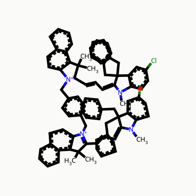 CN1/C(=C/C=C/C2=[N+](Cc3ccc(C[N+]4=C(/C=C/C=C5/N(C)c6ccc(Cl)cc6C5(Cc5ccccc5)Cc5ccccc5)C(C)(C)c5c4ccc4ccccc54)cc3)c3ccc4ccccc4c3C2(C)C)C(Cc2ccccc2)(Cc2ccccc2)c2cc(Cl)ccc21